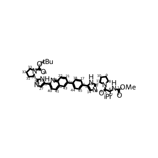 COC(=O)N[C@H](C(=O)N1CCC[C@H]1c1ncc(-c2ccc(-c3ccc4nc(-c5cnc([C@@H]6CCCN6C(=O)OC(C)(C)C)[nH]5)ccc4c3)cc2)[nH]1)C(C)C